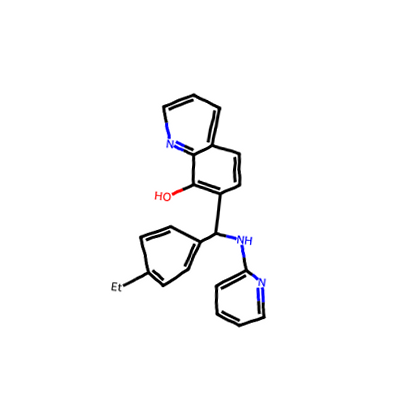 CCc1ccc(C(Nc2ccccn2)c2ccc3cccnc3c2O)cc1